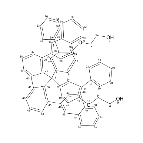 OCCOc1ccc(C2(c3ccc(OCCO)c(-c4ccccc4)c3)c3c(-c4ccc5ccccc5c4)cccc3-c3cccc(-c4ccc5ccccc5c4)c32)cc1-c1ccccc1